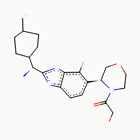 CC1CCC([C@H](N)c2nc3c(F)c([C@H]4COCCN4C(=O)CO)ccc3[nH]2)CC1